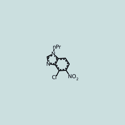 CCCn1cnc2c(Cl)c([N+](=O)[O-])ccc21